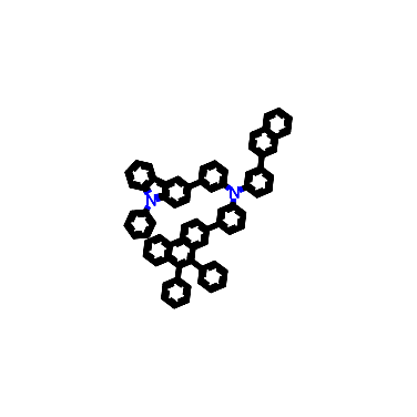 c1ccc(-c2c(-c3ccccc3)c3cc(-c4cccc(N(c5cccc(-c6ccc7ccccc7c6)c5)c5cccc(-c6ccc7c(c6)c6ccccc6n7-c6ccccc6)c5)c4)ccc3c3ccccc23)cc1